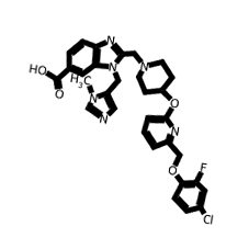 Cn1cncc1Cn1c(CN2CCC(Oc3cccc(COc4ccc(Cl)cc4F)n3)CC2)nc2ccc(C(=O)O)cc21